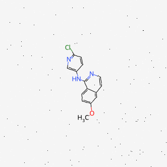 COc1ccc2c(Nc3ccc(Cl)nc3)nccc2c1